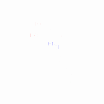 O=C(NN=Cc1ccc(-c2ccc(Br)cc2)o1)c1cc(O)c(O)c(O)c1